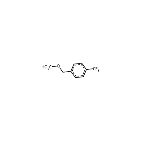 O=C(O)OCc1ccc(C(F)(F)F)cc1